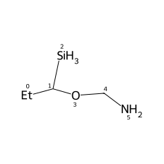 CCC([SiH3])OCN